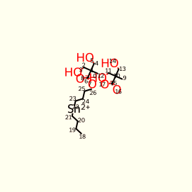 CC(CO)(CO)C(=O)[O-].CC(CO)(CO)C(=O)[O-].CCC[CH2][Sn+2][CH2]CCC